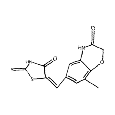 Cc1cc(C=C2SC(=S)NC2=O)cc2c1OCC(=O)N2